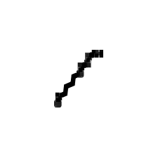 N=NN=NOCCCCN=O